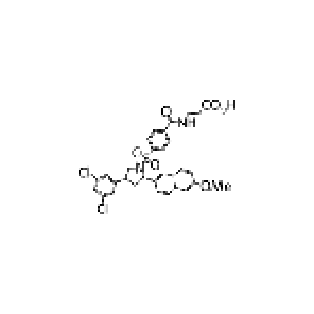 COC1=CC2C=CC([C@H]3C[C@@H](c4cc(Cl)cc(Cl)c4)CN3S(=O)(=O)c3ccc(C(=O)NCCC(=O)O)cc3)=CC2C=C1